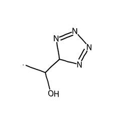 [CH2]C(O)C1N=NN=N1